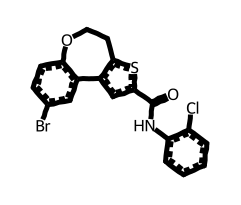 O=C(Nc1ccccc1Cl)c1cc2c(s1)CCOc1ccc(Br)cc1-2